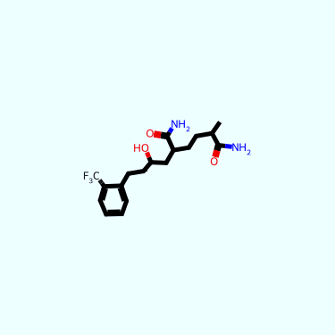 CC(CCC(CC(O)[CH]Cc1ccccc1C(F)(F)F)C(N)=O)C(N)=O